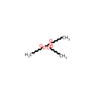 CC=CC=CC=CC(=O)OCC(COC(=O)C=CC=CC=CC)OC(=O)C=CC=CC=CC